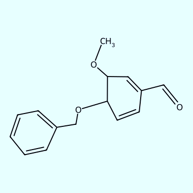 COC1C=C(C=O)C=CC1OCc1ccccc1